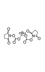 CCCCC(OC(=O)ON1C(=O)CCC1=O)OC(=O)ON1C(=O)CCC1=O